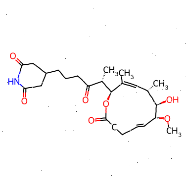 CO[C@H]1/C=C/CCC(=O)O[C@@H]([C@@H](C)C(=O)CCCC2CC(=O)NC(=O)C2)/C(C)=C\[C@H](C)[C@H]1O